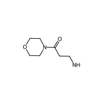 [NH]CCC(=O)N1CCOCC1